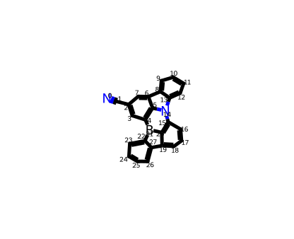 N#Cc1cc2c3c(c1)c1ccccc1n3-c1cccc3c1B2c1ccccc1-3